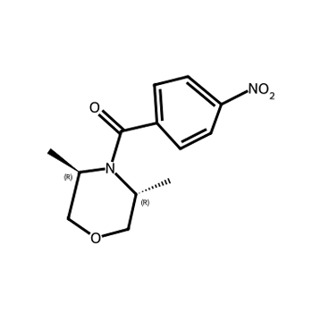 C[C@@H]1COC[C@@H](C)N1C(=O)c1ccc([N+](=O)[O-])cc1